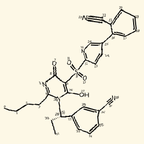 CCCCc1nc(=O)c(S(=O)(=O)c2ccc(-c3ccccc3C#N)cn2)c(O)n1[C@@H](CC)c1cccc(C#N)c1